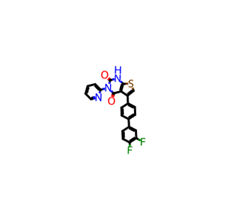 O=c1[nH]c2scc(-c3ccc(-c4ccc(F)c(F)c4)cc3)c2c(=O)n1-c1ccccn1